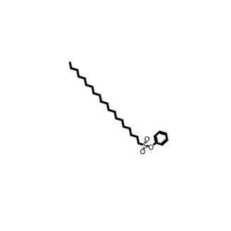 CCCCCCCCCCCCCCCCCCCCS(=O)(=O)Oc1ccccc1